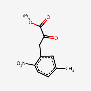 Cc1ccc([N+](=O)[O-])c(CC(=O)C(=O)OC(C)C)c1